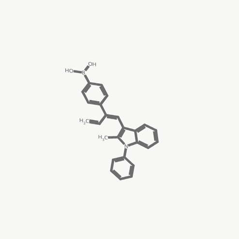 C=C/C(=C\c1c(C)n(-c2ccccc2)c2ccccc12)c1ccc(B(O)O)cc1